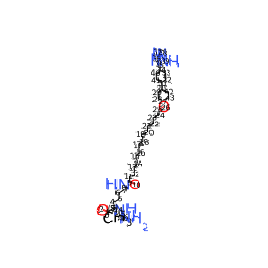 CC(=O)[C@H](CCCCNC(=O)CCCCCCCCCCCCCCCOc1ccc(-c2ccc(-c3nnn[nH]3)cc2)cc1)NCN